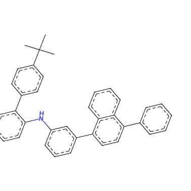 CC(C)(C)c1ccc(-c2ccccc2Nc2cccc(-c3ccc(-c4ccccc4)c4ccccc34)c2)cc1